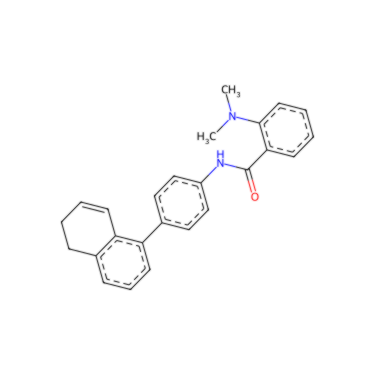 CN(C)c1ccccc1C(=O)Nc1ccc(-c2cccc3c2C=CCC3)cc1